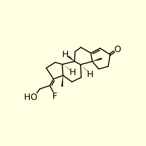 C[C@]12CCC(=O)C=C1CC[C@@H]1[C@@H]2CC[C@]2(C)C(=C(F)CO)CC[C@@H]12